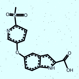 CS(=O)(=O)c1ccc(Oc2ccc3[nH]c(C(=O)O)cc3c2)cn1